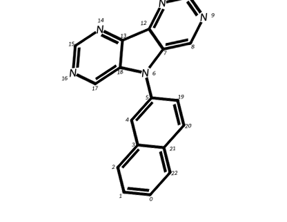 c1ccc2cc(-n3c4cncnc4c4ncncc43)ccc2c1